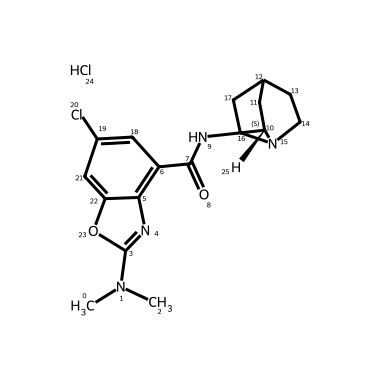 CN(C)c1nc2c(C(=O)N[C@@H]3CC4CCN3CC4)cc(Cl)cc2o1.Cl